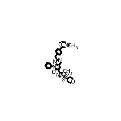 Cc1c(-c2cc3cnc(Cc4ccc(C5CN(C)CCO5)cc4)nc3n(-c3ccccc3)c2=O)ncn1S(=O)(=O)C1CCOCC1